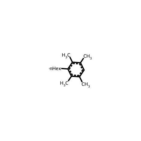 CCCCC[CH]c1c(C)c(C)cc(C)c1C